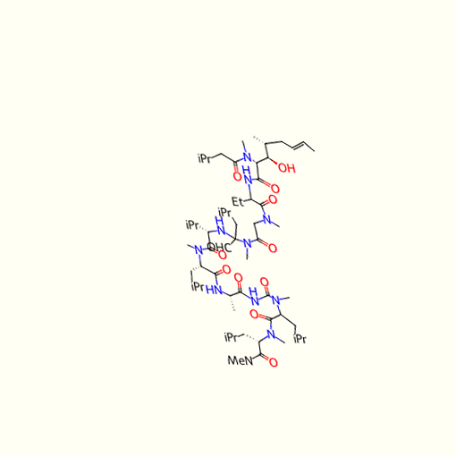 C/C=C/C[C@@H](C)[C@@H](O)[C@H](C(=O)NC(CC)C(=O)N(C)CC(=O)N(C)C(C=O)(CC(C)C)N[C@H](C(=O)N(C)[C@@H](CC(C)C)C(=O)N[C@@H](C)C(=O)NC(=O)N(C)C(CC(C)C)C(=O)N(C)[C@@H](CC(C)C)C(=O)NC)C(C)C)N(C)C(=O)CC(C)C